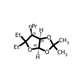 CCC[C@H]1[C@H]2OC(C)(C)O[C@H]2OC1(CC)CC